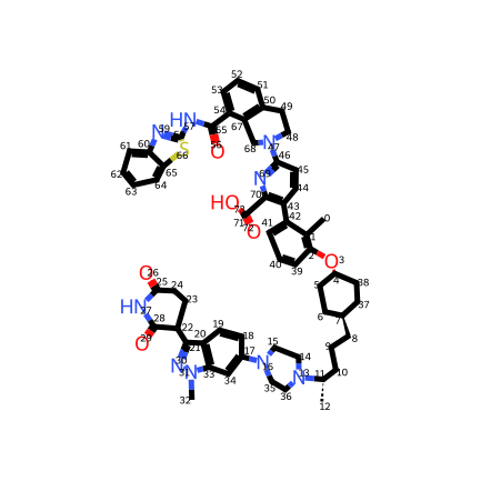 Cc1c(O[C@H]2CC[C@H](CCC[C@H](C)N3CCN(c4ccc5c(C6CCC(=O)NC6=O)nn(C)c5c4)CC3)CC2)cccc1-c1ccc(N2CCc3cccc(C(=O)Nc4nc5ccccc5s4)c3C2)nc1C(=O)O